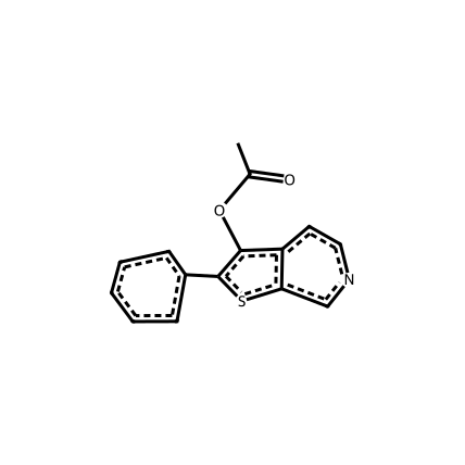 CC(=O)Oc1c(-c2ccccc2)sc2cnccc12